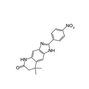 CC1(C)CC(=O)Nc2cc3nc(-c4ccc([N+](=O)[O-])cc4)[nH]c3cc21